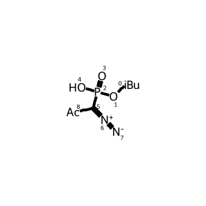 CCC(C)OP(=O)(O)C(=[N+]=[N-])C(C)=O